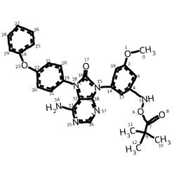 COc1cc(NOC(=O)C(C)(C)C)cc(-n2c(=O)n(-c3ccc(Oc4ccccc4)cc3)c3c(N)ncnc32)c1